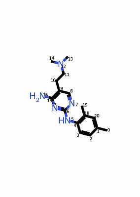 Cc1ccc(Nc2ncc(CCN(C)C)c(N)n2)c(C)c1